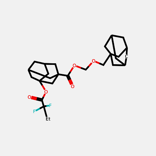 CCC(F)(F)C(=O)OC12CC3CC(C1)CC(C(=O)OCOCC14CC5CC(CC(C5)C1)C4)(C3)C2